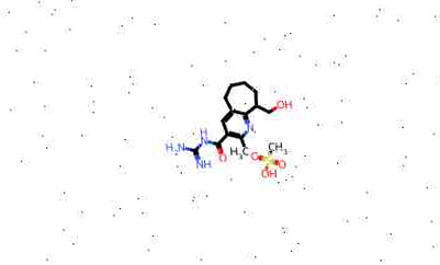 CS(=O)(=O)O.Cc1nc2c(cc1C(=O)NC(=N)N)CCCCC2CO